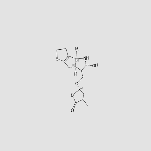 CC1C[C@@H](OCC2C(O)N[C@@H]3C4=C(C[C@H]23)SCC4)OC1=O